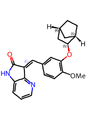 COc1ccc(/C=C2/C(=O)Nc3cccnc32)cc1O[C@H]1C[C@@H]2CC[C@H]1C2